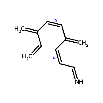 C=CC(=C)/C=C\C(=C)/C=C\C=N